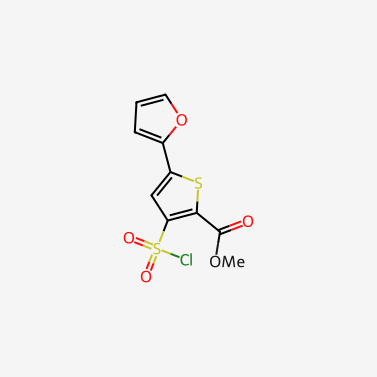 COC(=O)c1sc(-c2ccco2)cc1S(=O)(=O)Cl